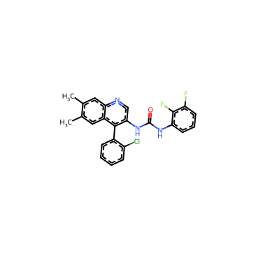 Cc1cc2ncc(NC(=O)Nc3cccc(F)c3F)c(-c3ccccc3Cl)c2cc1C